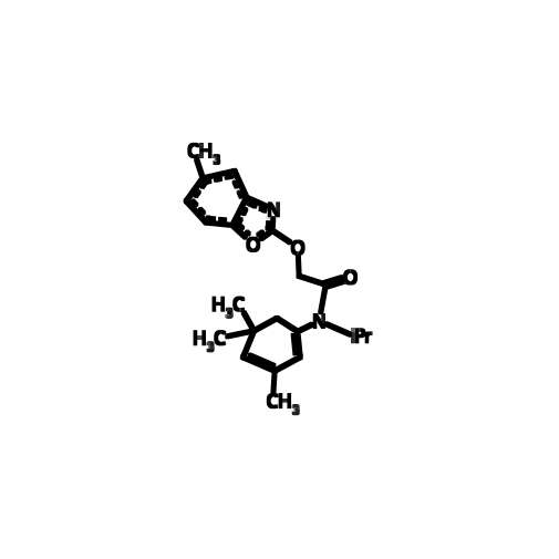 CC1=CC(C)(C)CC(N(C(=O)COc2nc3cc(C)ccc3o2)C(C)C)=C1